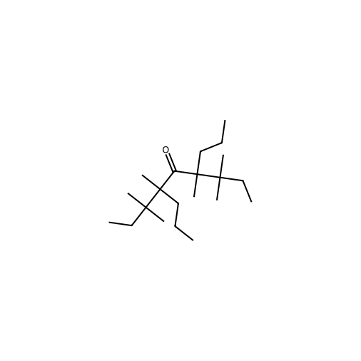 CCCC(C)(C(=O)C(C)(CCC)C(C)(C)CC)C(C)(C)CC